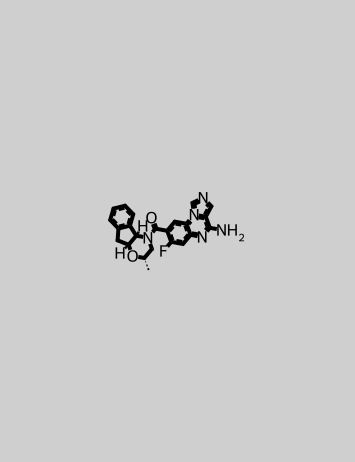 C[C@H]1CN(C(=O)c2cc3c(cc2F)nc(N)c2cncn23)[C@H]2c3ccccc3C[C@H]2O1